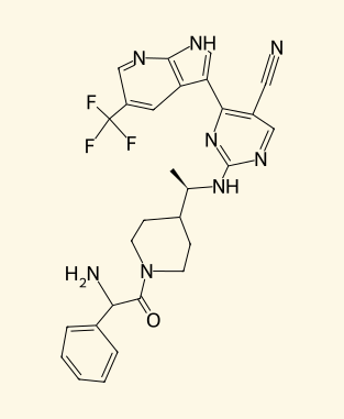 C[C@@H](Nc1ncc(C#N)c(-c2c[nH]c3ncc(C(F)(F)F)cc23)n1)C1CCN(C(=O)C(N)c2ccccc2)CC1